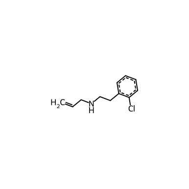 C=CCNCCc1ccccc1Cl